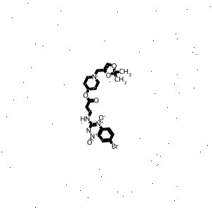 CC1(C)OC=C(CN2CCC(OC(=O)CCNc3n[n+]([O-])c4cc(Br)ccc4[n+]3[O-])CC2)O1